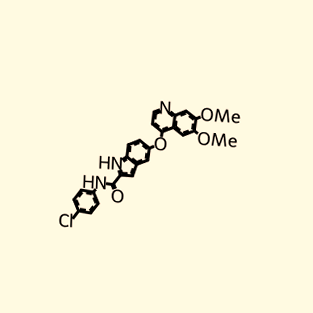 COc1cc2nccc(Oc3ccc4[nH]c(C(=O)Nc5ccc(Cl)cc5)cc4c3)c2cc1OC